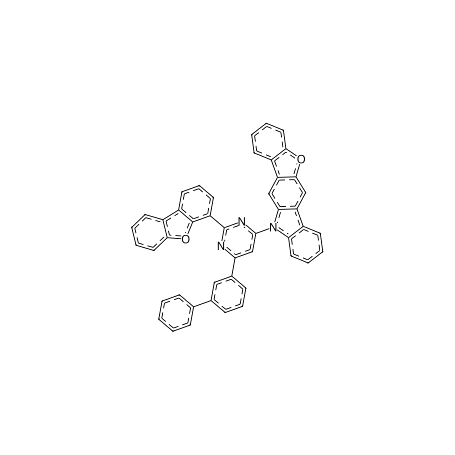 c1ccc(-c2cccc(-c3cc(-n4c5ccccc5c5cc6oc7ccccc7c6cc54)nc(-c4cccc5c4oc4ccccc45)n3)c2)cc1